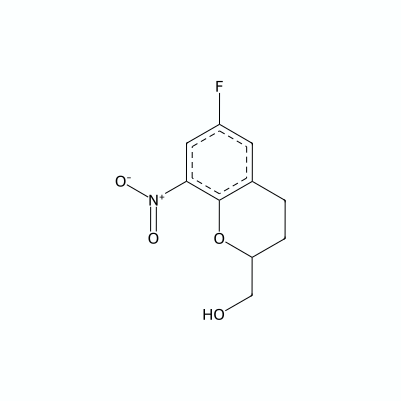 O=[N+]([O-])c1cc(F)cc2c1OC(CO)CC2